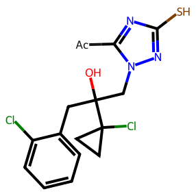 CC(=O)c1nc(S)nn1CC(O)(Cc1ccccc1Cl)C1(Cl)CC1